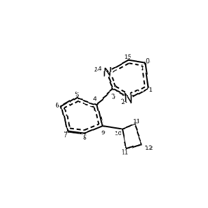 c1cnc(-c2ccccc2C2CCC2)nc1